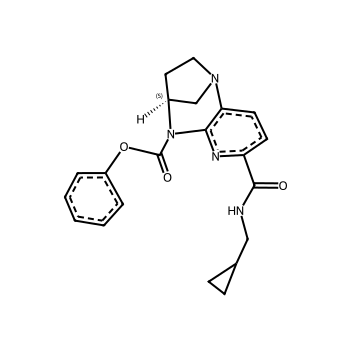 O=C(NCC1CC1)c1ccc2c(n1)N(C(=O)Oc1ccccc1)[C@H]1CCN2C1